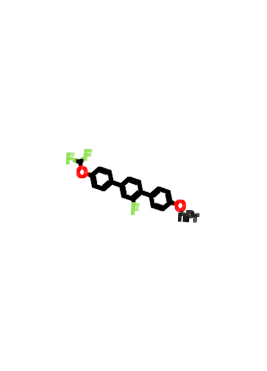 CCCOc1ccc(-c2ccc(-c3ccc(OC(F)F)cc3)cc2F)cc1